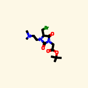 CN(C)CCN1C(=O)N(CC(=O)OC(C)(C)C)C(=O)C1CBr